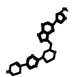 Cn1cc(-c2cnc3nnn(CC4CN(c5ncc(C6=CCNCC6)cn5)CCO4)c3n2)cn1